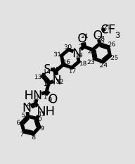 O=C(Nc1nc2ccccc2[nH]1)c1csc(C2CCN(C(=O)c3ccccc3OC(F)(F)F)CC2)n1